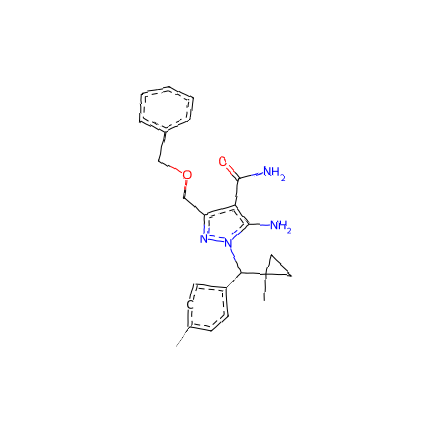 Cc1ccc(C(n2nc(COCc3ccccc3)c(C(N)=O)c2N)C2(C)CC2)cc1